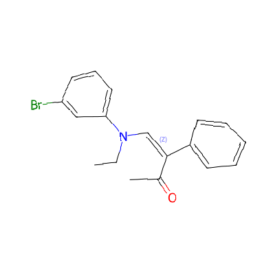 CCN(/C=C(\C(C)=O)c1ccccc1)c1cccc(Br)c1